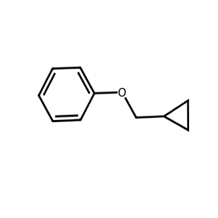 c1ccc(OCC2CC2)cc1